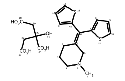 CN1CCCC(=C(c2cccs2)c2cccs2)C1.O=C(O)CC(O)(CC(=O)O)C(=O)O